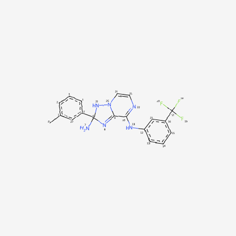 Cc1cccc(C2(N)N=C3C(Nc4cccc(C(F)(F)F)c4)=NC=CN3N2)c1